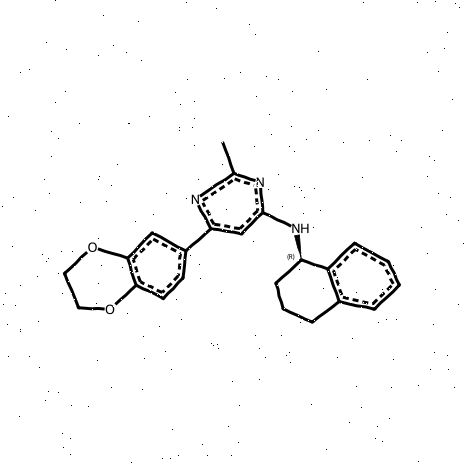 Cc1nc(N[C@@H]2CCCc3ccccc32)cc(-c2ccc3c(c2)OCCO3)n1